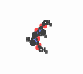 C=CC(=O)OCCN(C(=O)N(C)c1cccc(N(C)C(=O)N(CCOC(=O)C=C)c2ccccc2)c1)c1ccccc1